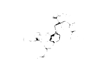 CCCC(C)C(=O)OC(C)C[C@@](N)(Cc1ccc(OC(=O)OC(C)C)c(OC(=O)OC(C)C)c1)C(=O)OC